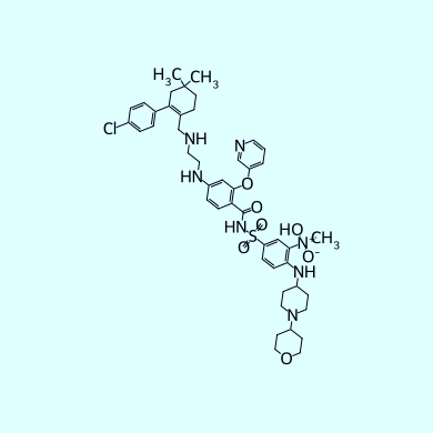 CC1(C)CCC(CNCCNc2ccc(C(=O)NS(=O)(=O)c3ccc(NC4CCN(C5CCOCC5)CC4)c([N+](C)([O-])O)c3)c(Oc3cccnc3)c2)=C(c2ccc(Cl)cc2)C1